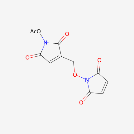 CC(=O)ON1C(=O)C=C(CON2C(=O)C=CC2=O)C1=O